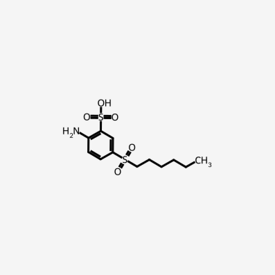 CCCCCCS(=O)(=O)c1ccc(N)c(S(=O)(=O)O)c1